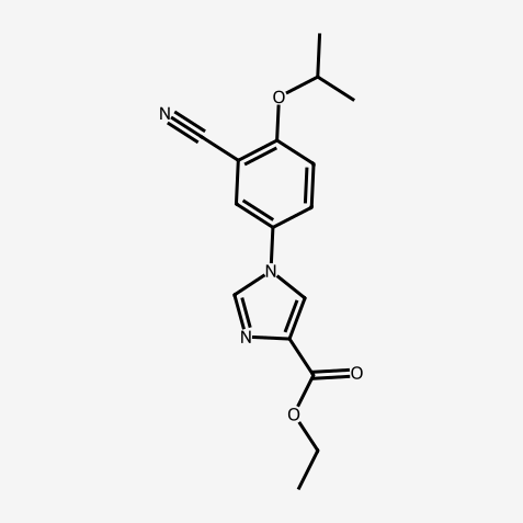 CCOC(=O)c1cn(-c2ccc(OC(C)C)c(C#N)c2)cn1